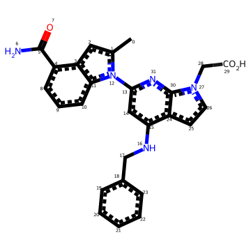 Cc1cc2c(C(N)=O)cccc2n1-c1cc(NCc2ccccc2)c2ccn(CC(=O)O)c2n1